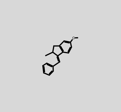 COc1ccc2c(c1)CC(C)C2=Cc1ccccc1